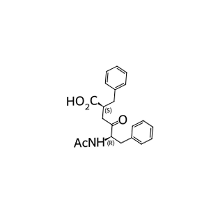 CC(=O)N[C@H](Cc1ccccc1)C(=O)C[C@H](Cc1ccccc1)C(=O)O